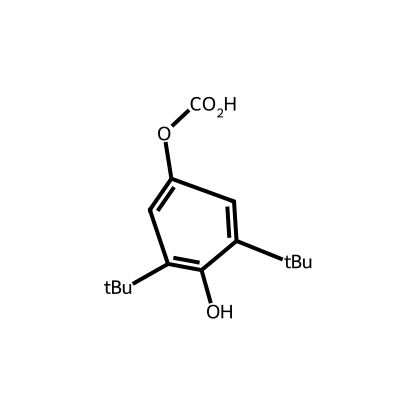 CC(C)(C)c1cc(OC(=O)O)cc(C(C)(C)C)c1O